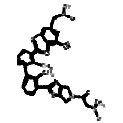 CCCN(CC)Cc1cc(C#N)c2oc(-c3cccc(-c4cccc(-c5nc6c(s5)CN(C(=O)CN(C)CC)C6)c4C)c3C)nc2c1